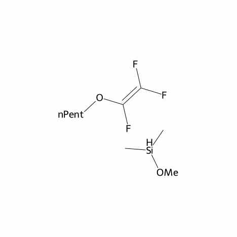 CCCCCOC(F)=C(F)F.CO[SiH](C)C